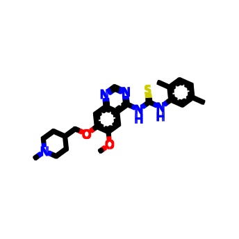 COc1cc2c(NC(=S)Nc3cc(C)ccc3C)ncnc2cc1OCC1CCN(C)CC1